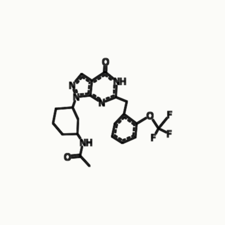 CC(=O)NC1CCCC(n2ncc3c(=O)[nH]c(Cc4ccccc4OC(F)(F)F)nc32)C1